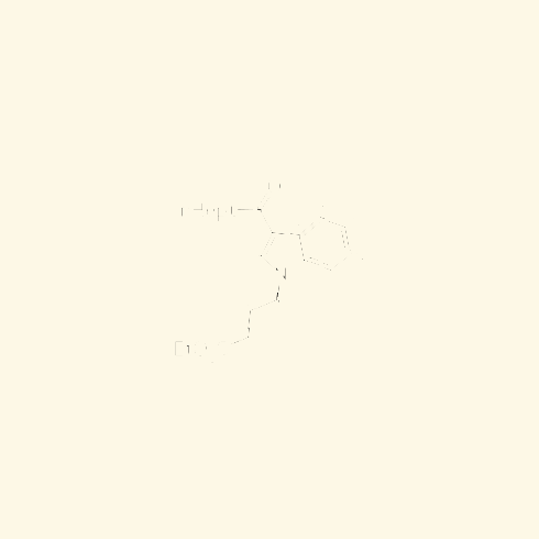 CCCCCCCC(=O)c1cn(CCCC(=O)OCC)c2ccccc12